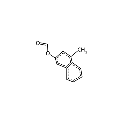 Cc1cc(O[C]=O)cc2ccccc12